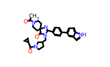 CC(=O)N1CCC2(CC1)N=C(c1ccc(-c3ccc4[nH]ccc4c3)cc1)N(CC1CCN(C(=O)C3CC3)C1)C2=O